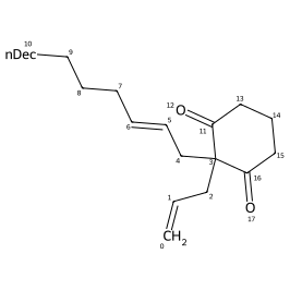 C=CCC1(C/C=C/CCCCCCCCCCCCC)C(=O)CCCC1=O